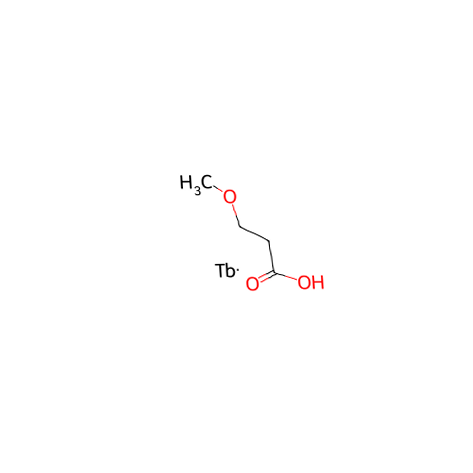 COCCC(=O)O.[Tb]